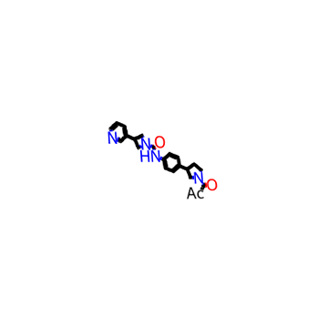 CC(=O)C(=O)N1CCC(c2ccc(NC(=O)N3CC(c4cccnc4)C3)cc2)C1